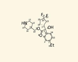 CCc1ccc([C@@](O)(C(=O)OCC2CCNCC2)[C@@H]2CCC(F)(F)C2)cc1